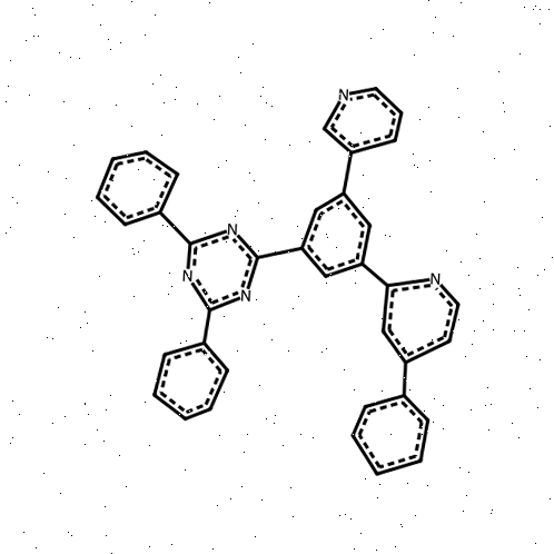 c1ccc(-c2ccnc(-c3cc(-c4cccnc4)cc(-c4nc(-c5ccccc5)nc(-c5ccccc5)n4)c3)c2)cc1